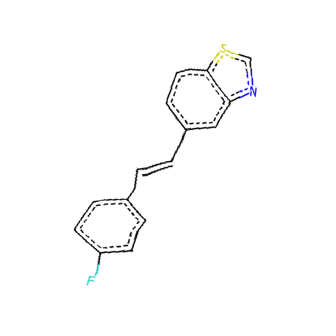 Fc1ccc(C=Cc2ccc3scnc3c2)cc1